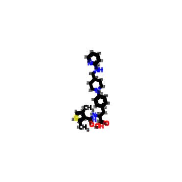 Cc1csc(C)c1C(=O)NC(Cc1ccc(N2CCC(CNc3ccccn3)CC2)cc1)C(=O)O